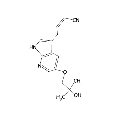 CC(C)(O)COc1cnc2[nH]cc(C/C=C\C#N)c2c1